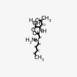 CCCCCN(N)CC(=O)NC(CC(C)C)C(=O)O